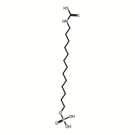 O=P(O)(O)OCCCCCCCCCCCCCNC(=S)S